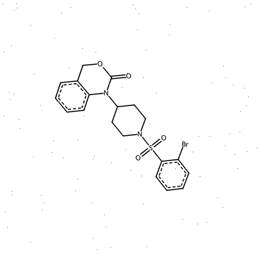 O=C1OCc2ccccc2N1C1CCN(S(=O)(=O)c2ccccc2Br)CC1